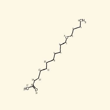 CCCCOCCCCCCCCCCC(=O)O